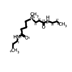 CCCNC(=O)CCCN(C)CCC(=O)NCCC